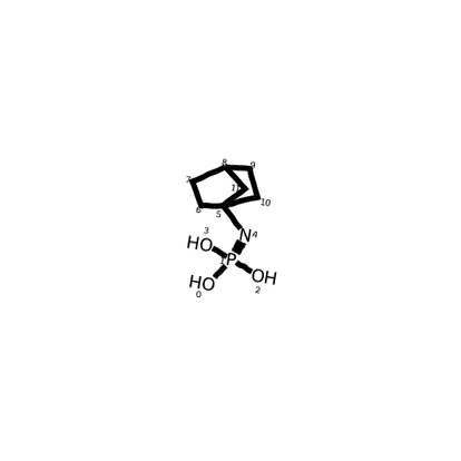 OP(O)(O)=NC12CCC(CC1)C2